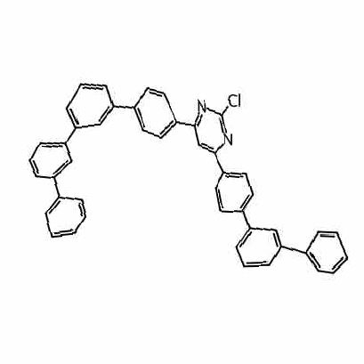 Clc1nc(-c2ccc(-c3cccc(-c4ccccc4)c3)cc2)cc(-c2ccc(-c3cccc(-c4cccc(-c5ccccc5)c4)c3)cc2)n1